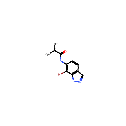 CC(C)C(C(=O)O)C(=O)Nc1ccc2cn[nH]c2c1Br